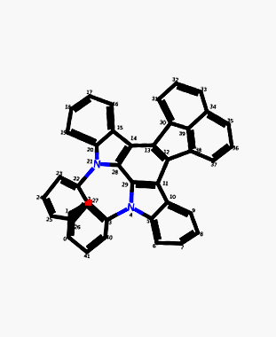 c1ccc(-n2c3ccccc3c3c4c(c5c6ccccc6n(-c6ccccc6)c5c32)-c2cccc3cccc-4c23)cc1